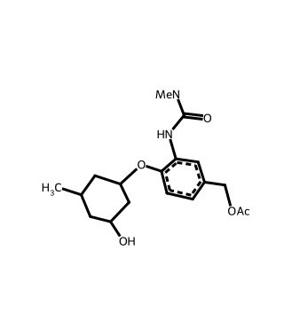 CNC(=O)Nc1cc(COC(C)=O)ccc1OC1CC(C)CC(O)C1